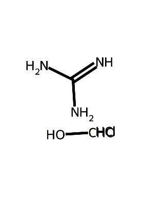 Cl.N=C(N)N.O=CO